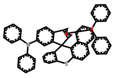 c1ccc(N(c2ccccc2)c2ccc3c(c2)C2(c4ccccc4Sc4ccc5ccccc5c42)c2cc(N(c4ccccc4)c4ccccc4)ccc2-3)cc1